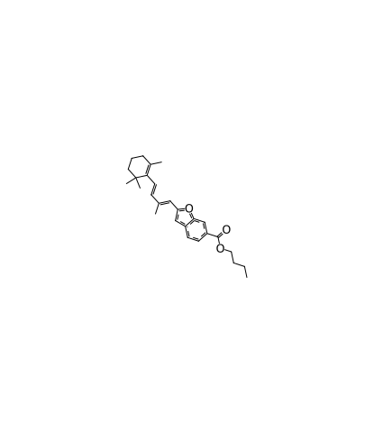 CCCCOC(=O)c1ccc2cc(/C=C(\C)C=CC3=C(C)CCCC3(C)C)oc2c1